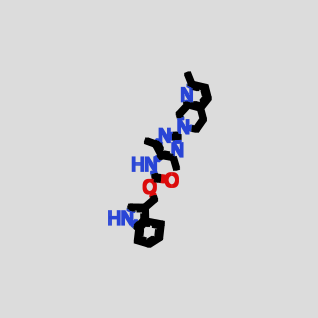 Cc1ccc2c(n1)CN(c1nc(C)c(NC(=O)OCc3c[nH]c4ccccc34)c(C)n1)CC2